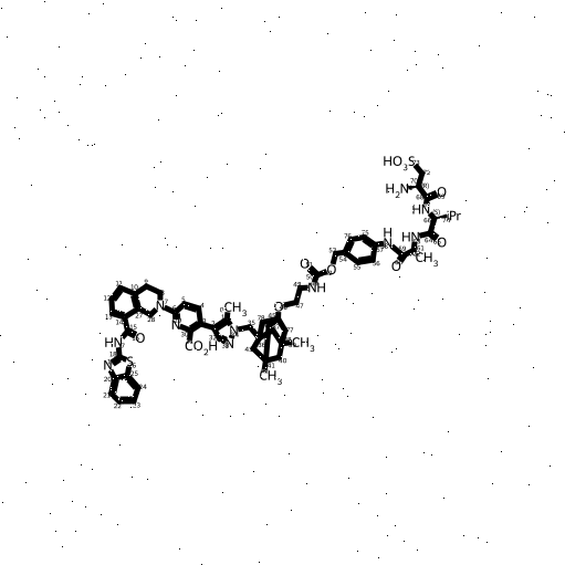 Cc1c(-c2ccc(N3CCc4cccc(C(=O)Nc5nc6ccccc6s5)c4C3)nc2C(=O)O)cnn1CC12CC3(C)CC(C)(C1)CC(OCCNC(=O)OCc1ccc(NC(=O)[C@H](C)NC(=O)[C@@H](NC(=O)[C@@H](N)CS(=O)(=O)O)C(C)C)cc1)(C3)C2